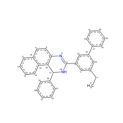 CCc1cc(C2=Nc3ccc4ccccc4c3C(c3ccccc3)N2)cc(-c2ccccc2)c1